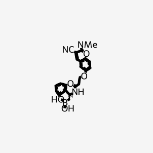 CNC(=O)C(C#N)=Cc1cccc(OCCC(=O)N[C@@H](CB(O)O)c2ccccc2)c1